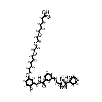 Cn1c(CNc2cccc(C(=O)NCc3cc(OCCCCCCOCCOCCOCCCCCC(=O)O)ccc3F)c2)nnc1-c1ccncn1